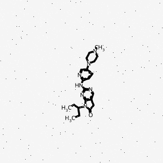 CCC(CC)N1C(=O)Cc2cnc(Nc3ccc(N4CCN(C)CC4)cn3)nc21